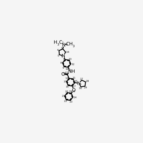 CN(C)C1CCN(c2ccc(NC(=O)c3ccc(Oc4ccccc4)c(N4CCCC4)c3)cc2)C1